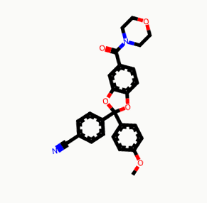 COc1ccc(C2(c3ccc(C#N)cc3)Oc3ccc(C(=O)N4CCOCC4)cc3O2)cc1